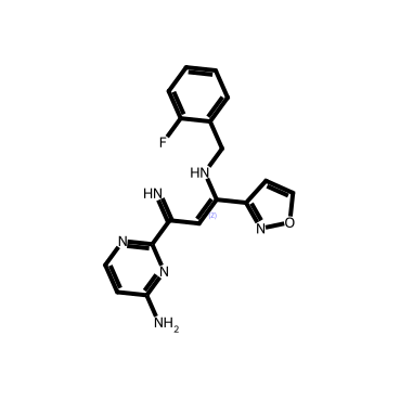 N=C(/C=C(\NCc1ccccc1F)c1ccon1)c1nccc(N)n1